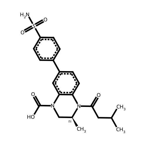 CC(C)CC(=O)N1c2ccc(-c3ccc(S(N)(=O)=O)cc3)cc2N(C(=O)O)C[C@@H]1C